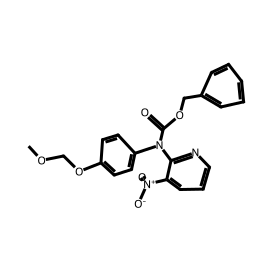 COCOc1ccc(N(C(=O)OCc2ccccc2)c2ncccc2[N+](=O)[O-])cc1